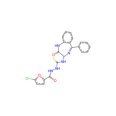 O=C(NNC(=S)NC1N=C(c2ccccc2)c2ccccc2NC1=O)c1ccc(Cl)o1